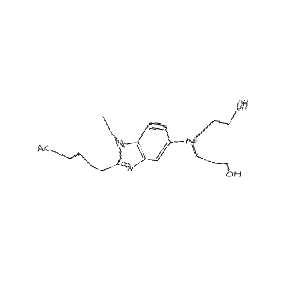 CC(=O)CCCc1nc2cc(N(CCO)CCO)ccc2n1C